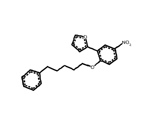 O=[N+]([O-])c1ccc(OCCCCCc2ccccc2)c(-c2ccco2)c1